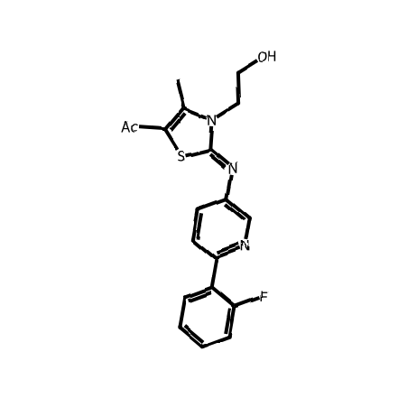 CC(=O)c1s/c(=N\c2ccc(-c3ccccc3F)nc2)n(CCO)c1C